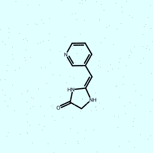 O=C1CNC(=Cc2cccnc2)N1